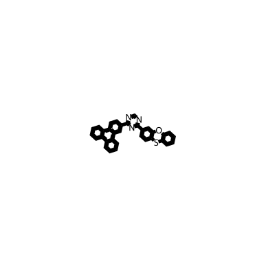 c1ccc2c(c1)Oc1cc(-c3ncnc(-c4ccc5c6ccccc6c6ccccc6c5c4)n3)ccc1S2